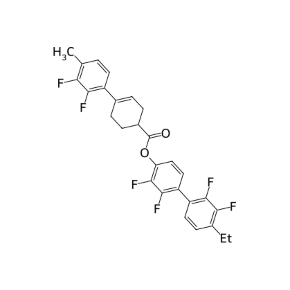 CCc1ccc(-c2ccc(OC(=O)C3CC=C(c4ccc(C)c(F)c4F)CC3)c(F)c2F)c(F)c1F